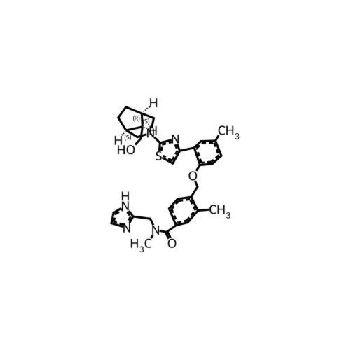 Cc1ccc(OCc2ccc(C(=O)N(C)Cc3ncc[nH]3)cc2C)c(-c2csc(N3C[C@H]4CC[C@@H](C3)[C@H]4CO)n2)c1